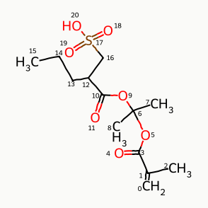 C=C(C)C(=O)OC(C)(C)OC(=O)C(CCC)CS(=O)(=O)O